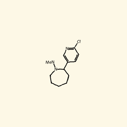 CNN1CCCCCC1c1ccc(Cl)nc1